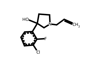 C=CCN1CCC(O)(c2cccc(Cl)c2F)C1